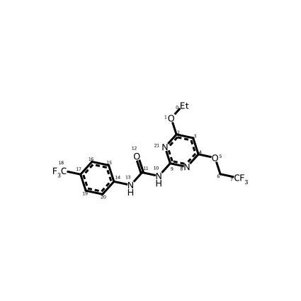 CCOc1cc(OCC(F)(F)F)nc(NC(=O)Nc2ccc(C(F)(F)F)cc2)n1